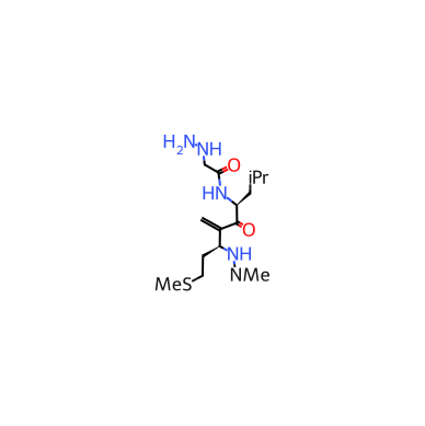 C=C(C(=O)[C@H](CC(C)C)NC(=O)CNN)[C@H](CCSC)NNC